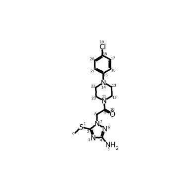 CSc1nc(N)nn1CC(=O)N1CCN(c2ccc(Cl)cc2)CC1